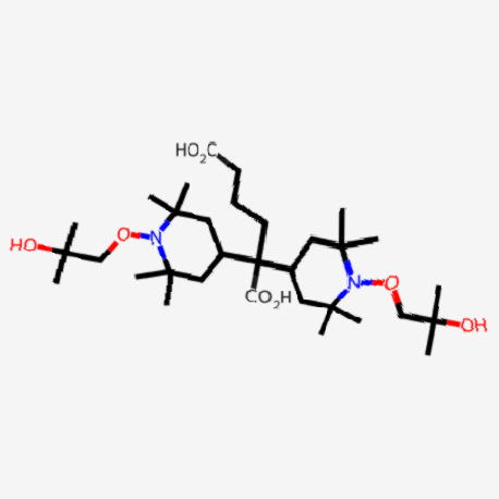 CC(C)(O)CON1C(C)(C)CC(C(CCCC(=O)O)(C(=O)O)C2CC(C)(C)N(OCC(C)(C)O)C(C)(C)C2)CC1(C)C